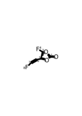 O=c1oc(F)c(C#CF)o1